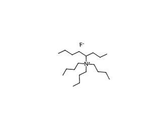 CCCCC(CCC)[N+](CCCC)(CCCC)CCCC.[F-]